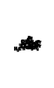 CCCN(CCC)c1nc2c(c(-c3c(C)cc(C)cc3C)cn2C(C)=O)c(=O)n1C